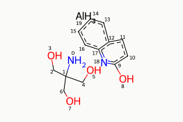 NC(CO)(CO)CO.Oc1ccc2ccccc2n1.[AlH3]